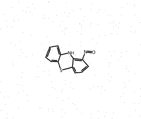 O=Nc1cccc2c1Nc1ccccc1S2